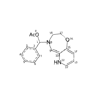 CC(=O)OC(c1ccccc1)N1C=C2NC=CC=C2OCC1